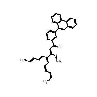 C=NC(=C\C(=N)c1cccc(-c2cc3ccccc3c3ccccc23)c1)/C(/C=C/C=C/N)=C/C=C\C=C/C